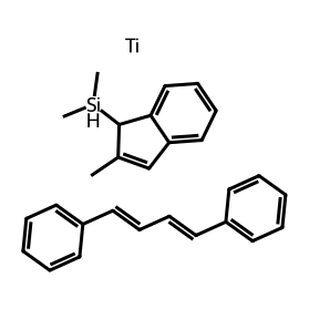 C(C=Cc1ccccc1)=Cc1ccccc1.CC1=Cc2ccccc2C1[SiH](C)C.[Ti]